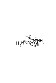 COc1c(N2CCC([C@@H](C)N)C2)c(F)cn2c(=O)n(N)c(=O)c(C3CC3)c12.Cl